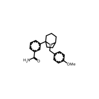 COc1ccc(CN2C3CCCC2(c2cccc(C(N)=O)c2)CC3)cc1